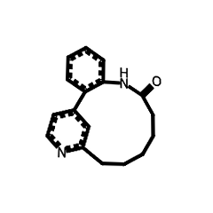 O=C1CCCCCc2cc(ccn2)-c2ccccc2N1